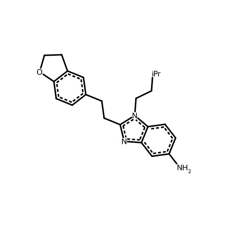 CC(C)CCn1c(CCc2ccc3c(c2)CCO3)nc2cc(N)ccc21